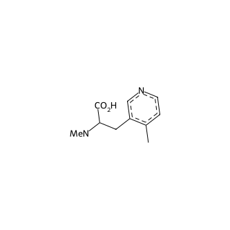 CNC(Cc1cnccc1C)C(=O)O